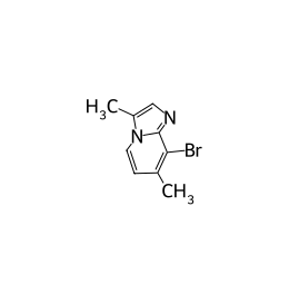 Cc1ccn2c(C)cnc2c1Br